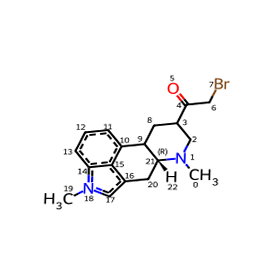 CN1CC(C(=O)CBr)CC2c3cccc4c3c(cn4C)C[C@H]21